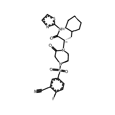 N#Cc1cc(S(=O)(=O)N2CCN([C@@H](CC3CCCCC3)C(=O)Nc3nccs3)C(=O)C2)ccc1F